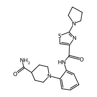 NC(=O)C1CCN(c2ccccc2NC(=O)c2csc(N3CCCC3)n2)CC1